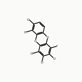 Fc1c(Cl)c(Cl)c(Cl)c2c1Oc1ccc(Cl)c(Cl)c1O2